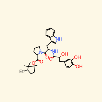 CC[C@@H]1CCC(C)(OC(=O)C2CCCN2C(=O)C(Cc2c[nH]c3ccccc23)NC(=O)C(O)Cc2ccc(O)c(O)c2)C1(C)C